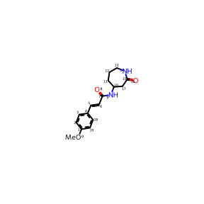 COc1ccc(C=CC(=O)NC2CCCNC(=O)C2)cc1